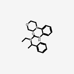 CCN(C(=O)Nc1ccccc1N1CCOCC1)C(C)c1ccccc1